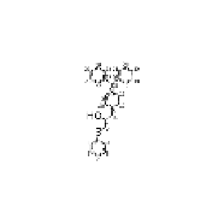 OC(CSc1ccccc1)CN1CCN(C(c2ccccc2)c2ccccc2)CC1